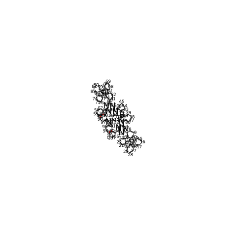 c1ccc(-c2nc(-c3cccc([Si](c4ccccc4)(c4ccccc4)c4ccccc4)c3)nc(N3c4ccccc4B4c5ccccc5N(c5nc(-c6ccccc6)nc(-c6cccc([Si](c7ccccc7)(c7ccccc7)c7ccccc7)c6)n5)c5cc(N(c6ccccc6)c6ccccc6)cc3c54)n2)cc1